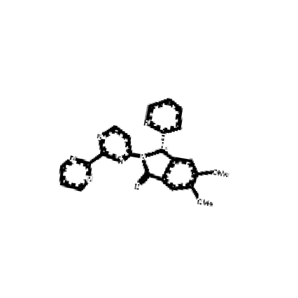 COc1cc2c(cc1OC)[C@@H](c1ccccn1)N(c1ccnc(-c3ncccn3)n1)C2=O